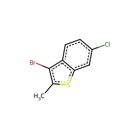 Cc1sc2cc(Cl)ccc2c1Br